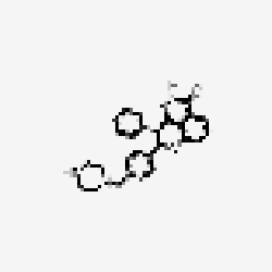 O=c1[nH]nc2c3c(cccc13)NC(c1ccc(CN3CCNCC3)cc1)C2c1ccccc1